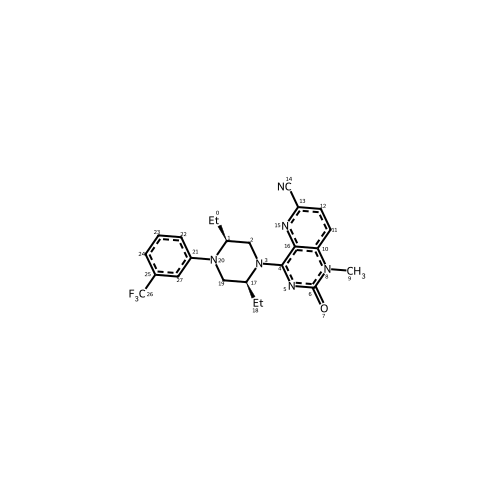 CC[C@H]1CN(c2nc(=O)n(C)c3ccc(C#N)nc23)[C@@H](CC)CN1c1cccc(C(F)(F)F)c1